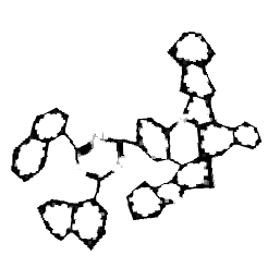 c1ccc2cc3c(cc2c1)c1c2ccccc2ccc1n3-c1ccc(C2N=C(c3cccc4ccccc34)N=C(c3cccc4ccccc34)N2)cc1-c1cccc2oc3ccccc3c12